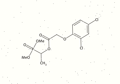 COP(=O)(OC)C(C)OC(=O)COc1ccc(Cl)cc1Cl